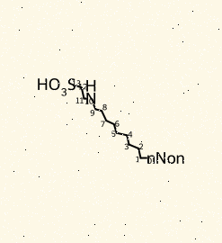 CCCCCCCCCCCCCCCCCCNCCS(=O)(=O)O